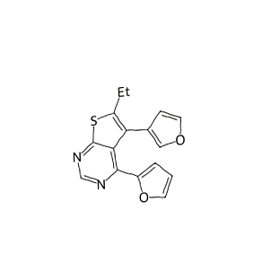 CCc1sc2ncnc(-c3ccco3)c2c1-c1ccoc1